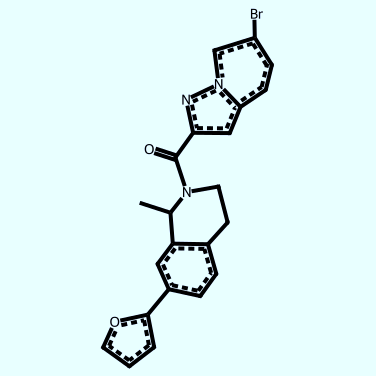 CC1c2cc(-c3ccco3)ccc2CCN1C(=O)c1cc2ccc(Br)cn2n1